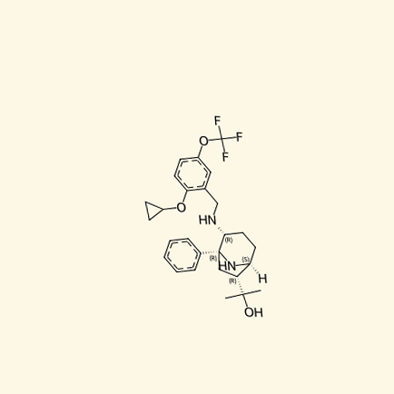 CC(C)(O)[C@@H]1C[C@]2(c3ccccc3)N[C@H]1CC[C@H]2NCc1cc(OC(F)(F)F)ccc1OC1CC1